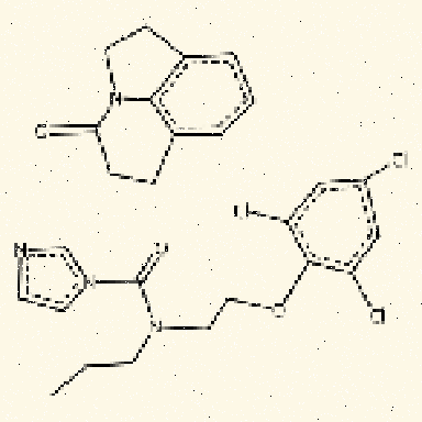 CCCN(CCOc1c(Cl)cc(Cl)cc1Cl)C(=O)n1ccnc1.O=C1CCc2cccc3c2N1CC3